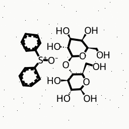 OC[C@H]1O[C@@H](O[C@H]2[C@H](O)[C@@H](O)[C@H](O)O[C@@H]2CO)[C@H](O)[C@@H](O)[C@H]1O.[O-][S+](c1ccccc1)c1ccccc1